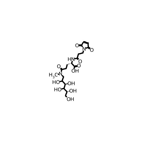 CN(CC(O)[C@@H](O)C(O)[C@H](O)CO)C(=O)CC[C@H](NC(=O)CCN1C(=O)C=CC1=O)C(=O)O